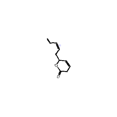 CC/C=C\CC1C=CCC(=O)O1